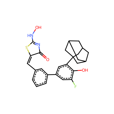 O=C1N=C(NO)SC1=Cc1cccc(-c2cc(F)c(O)c(C34CC5CC(CC(C5)C3)C4)c2)c1